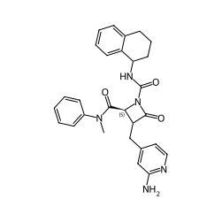 CN(C(=O)[C@@H]1C(Cc2ccnc(N)c2)C(=O)N1C(=O)NC1CCCc2ccccc21)c1ccccc1